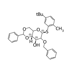 Cc1ccc(C(C)(C)C)cc1S[C@@H]1OC2COC(c3ccccc3)O[C@H]2[C@H](O)C1OCc1ccccc1